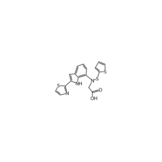 O=C(O)CN(Sc1cccs1)c1cccc2cc(-c3nccs3)[nH]c12